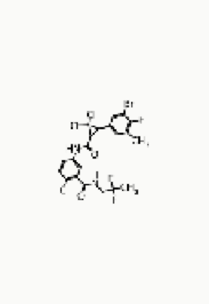 Cc1cc(C2C(C(=O)Nc3ccc(Cl)c(C(=O)NCC(C)(F)F)c3)C2(Cl)Cl)cc(Br)c1F